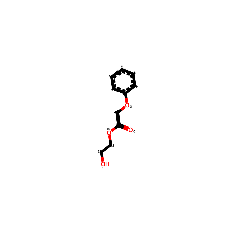 O=C(COc1ccccc1)OCCO